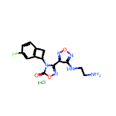 Cl.NCCNc1nonc1-c1noc(=O)n1C1Cc2ccc(F)cc21